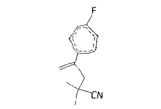 C=C(CC(C)(C)C#N)c1ccc(F)cc1